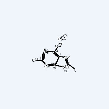 Cc1nc2c(Cl)nc(Cl)nc2[nH]1.Cl